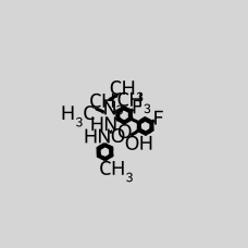 Cc1ccc(NC(=O)Nc2cc(-c3cc(F)ccc3C(=O)O)c(F)cc2N(CC(C)C)CC(C)C)cc1